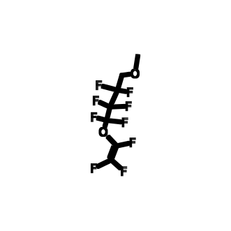 COCC(F)(F)C(F)(F)C(F)(F)OC(F)=C(F)F